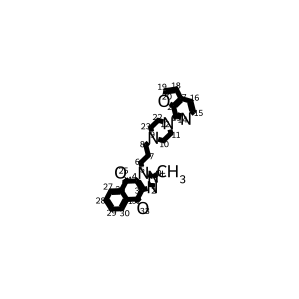 C[n+]1nc2c(n1CCCN1CCN(c3nccc4ccoc34)CC1)C(=O)c1ccccc1C2=O